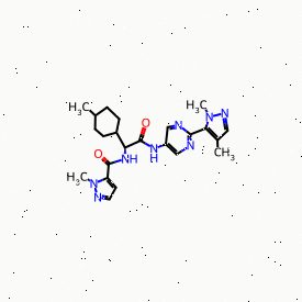 Cc1cnn(C)c1-c1ncc(NC(=O)[C@@H](NC(=O)c2ccnn2C)C2CCC(C)CC2)cn1